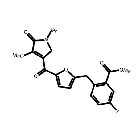 COC(=O)c1cc(F)ccc1Cc1ccc(C(=O)C2=C(OC)C(=O)N(C(C)C)C2)o1